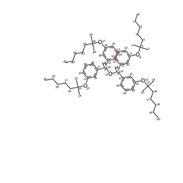 CCCCCC(C)(C)Oc1cccc([SiH](O[SiH](c2cccc(OC(C)(C)CCCCC)c2)c2cccc(OC(C)(C)CCCCC)c2)c2cccc(OC(C)(C)CCCCC)c2)c1